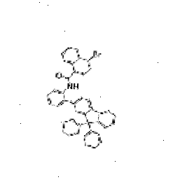 O=C(Nc1ccccc1-c1ccc2c(c1)C(c1ccccc1)(c1ccccc1)c1ccccc1-2)c1ccc(Br)c2ccccc12